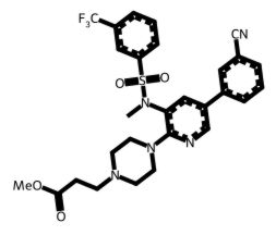 COC(=O)CCN1CCN(c2ncc(-c3cccc(C#N)c3)cc2N(C)S(=O)(=O)c2cccc(C(F)(F)F)c2)CC1